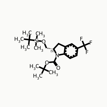 CC(C)(C)OC(=O)N1c2ccc(C(F)(F)F)cc2C[C@H]1CO[Si](C)(C)C(C)(C)C